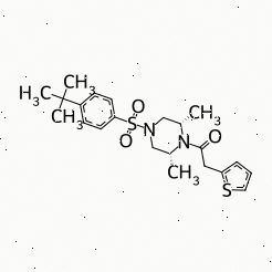 C[C@@H]1CN(S(=O)(=O)c2ccc(C(C)(C)C)cc2)C[C@H](C)N1C(=O)Cc1cccs1